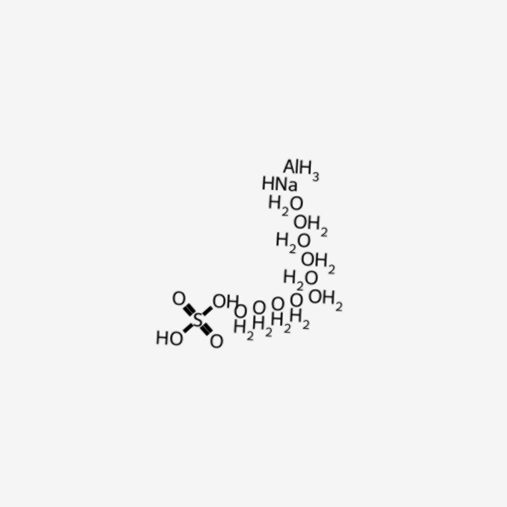 O.O.O.O.O.O.O.O.O.O.O=S(=O)(O)O.[AlH3].[NaH]